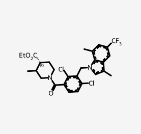 CCOC(=O)[C@@H]1CCN(C(=O)c2ccc(Cl)c(Cn3cc(C)c4cc(C(F)(F)F)cc(C)c43)c2Cl)CC1C